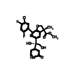 COC(=O)[C@@]1(C)COc2c1cc([C@@](O)(CO)c1cc[nH]c(=O)c1)nc2-c1cc(Cl)c(F)cc1F